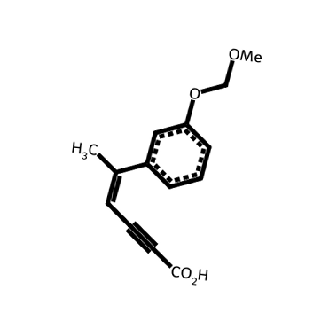 COCOc1cccc(/C(C)=C\C#CC(=O)O)c1